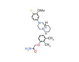 COc1cc(N2CCN3[C@@H](CCC[C@@H]3c3ccc(OCC(N)=O)c(C)c3C)C2)ccc1F